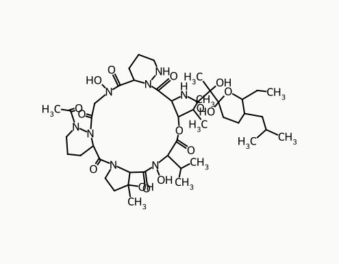 CCC1OC(O)(C(C)(O)C(=O)NC2C(=O)N3NCCCC3C(=O)N(O)CC(=O)N3C(CCCN3C(C)=O)C(=O)N3CCC(C)(O)C3C(=O)N(O)C(C(C)C)C(=O)OC2C(C)C)CCC1CC(C)C